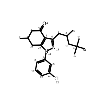 CC1CC(=O)c2c(CC(C)CC(C)(C)C)nn(-c3cccc(Cl)c3)c2C1